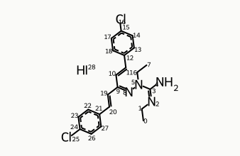 CCN=C(N)N(CC)N=C(C=Cc1ccc(Cl)cc1)C=Cc1ccc(Cl)cc1.I